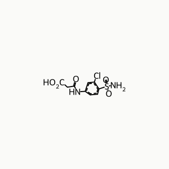 NS(=O)(=O)c1ccc(NC(=O)CC(=O)O)cc1Cl